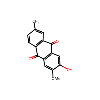 COc1cc2c(cc1O)C(=O)c1cc(C)ccc1C2=O